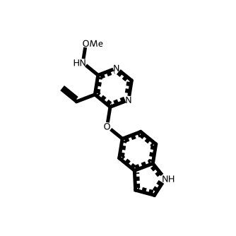 C=Cc1c(NOC)ncnc1Oc1ccc2[nH]ccc2c1